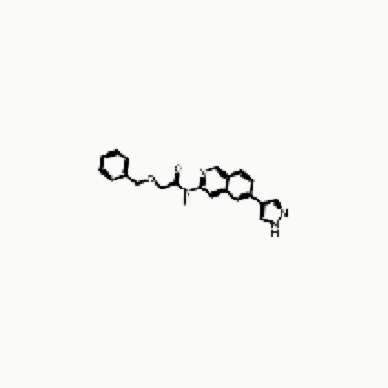 O=C(COCc1ccccc1)Nc1cc2cc(-c3cn[nH]c3)ccc2cn1